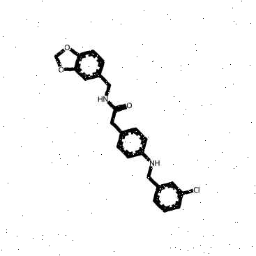 O=C(Cc1ccc(NCc2cccc(Cl)c2)cc1)NCc1ccc2c(c1)OCO2